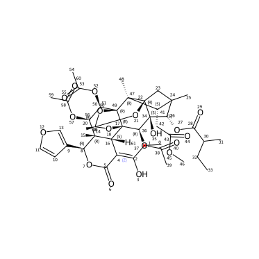 CC/C(O)=C1/C(=O)O[C@@H](c2ccoc2)[C@@]2(C)[C@@H]1[C@@]13O[C@@]4(C)O[C@@]56CC(C)([C@H](OC(=O)C(C)CC)[C@]5(O)[C@H]1OC(C)=O)[C@H](CC(=O)OC)[C@@]6(C)[C@@]3(O4)[C@H](OC(C)=O)[C@@H]2OC(C)=O